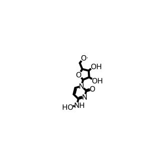 [O]CC1OC(n2ccc(NO)nc2=O)C(O)C1O